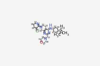 CC(C)(C)c1ccc(Nc2nc(CN3CCOCC3)nc3c2CCN(c2ncccc2Cl)C3)cc1